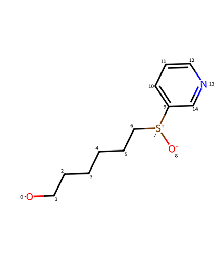 [O]CCCCCC[S+]([O-])c1cccnc1